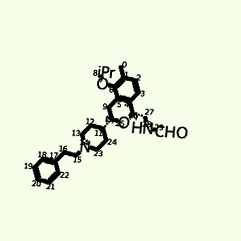 Cc1ccc2c(c1OC(C)C)C[C@@H](C1CCN(CCc3ccccc3)CC1)O[C@H]2CNC=O